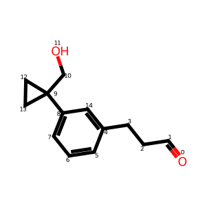 O=CCCc1cccc(C2(CO)CC2)c1